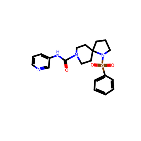 O=C(Nc1cccnc1)N1CCC2(CCCN2S(=O)(=O)c2ccccc2)CC1